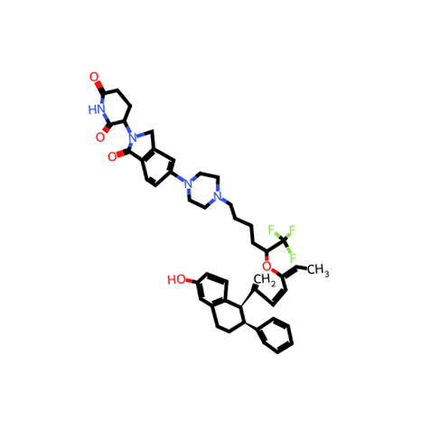 C=C(/C=C\C(=C/C)OC(CCCCN1CCN(c2ccc3c(c2)CN(C2CCC(=O)NC2=O)C3=O)CC1)C(F)(F)F)[C@@H]1c2ccc(O)cc2CC[C@@H]1c1ccccc1